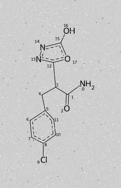 NC(=O)C(Cc1ccc(Cl)cc1)c1nnc(O)o1